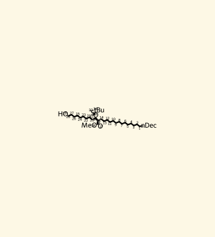 CCCCCCCCCCCCCCCCCCCCCCCC[C@@H](C(=O)OC)[C@@H](CCCCCCCCCO)O[Si](C)(C)C(C)(C)C